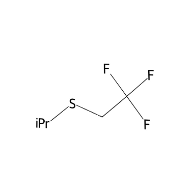 CC(C)SCC(F)(F)F